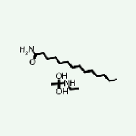 CCCCCCCCCCCCCC(N)=O.CCNC(C)(O)O